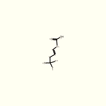 O=C(O)OC=CCC(F)(F)F